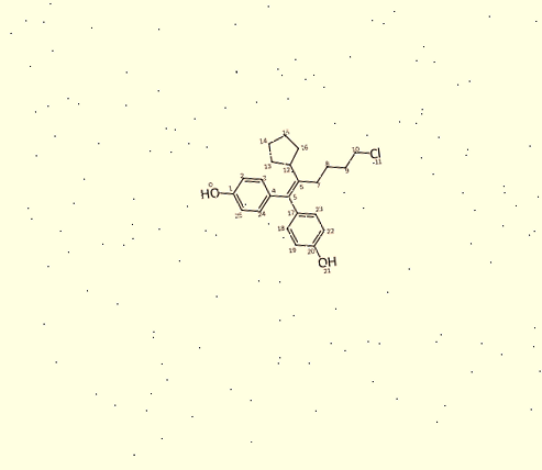 Oc1ccc(C(=C(CCCCCl)C2CCCC2)c2ccc(O)cc2)cc1